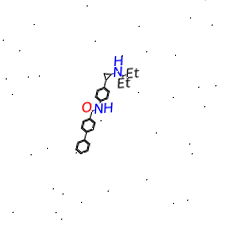 CCC(CC)NC1CC1c1ccc(NC(=O)c2ccc(-c3ccccc3)cc2)cc1